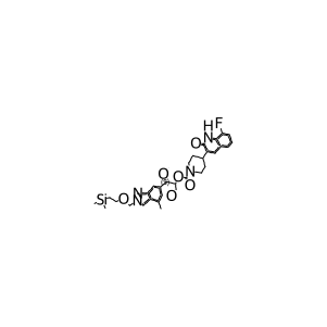 CO[C@@H](c1cc(C)c2cn(COCC[Si](C)(C)C)nc2c1)C(C=O)OC(=O)N1CCC(c2cc3cccc(F)c3[nH]c2=O)CC1